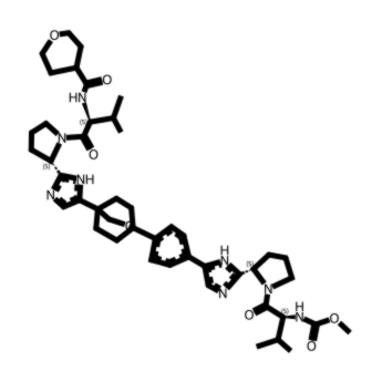 COC(=O)N[C@H](C(=O)N1CCC[C@H]1c1ncc(-c2ccc(C34CCC(c5cnc([C@@H]6CCCN6C(=O)[C@@H](NC(=O)C6CCOCC6)C(C)C)[nH]5)(CC3)CC4)cc2)[nH]1)C(C)C